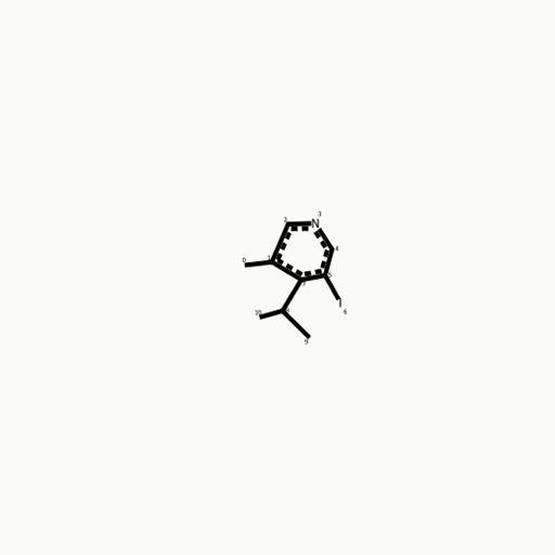 Cc1cncc(I)c1C(C)C